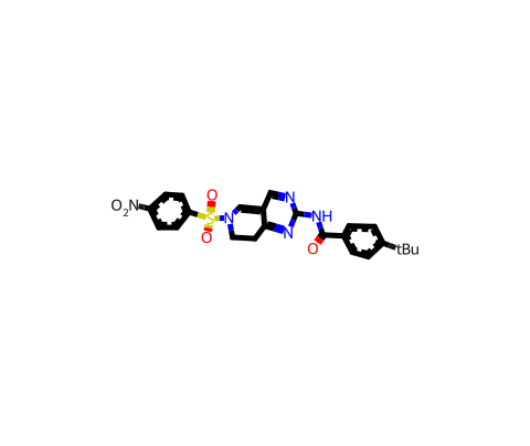 CC(C)(C)c1ccc(C(=O)NC2N=CC3=CN(S(=O)(=O)c4ccc([N+](=O)[O-])cc4)CCC3=N2)cc1